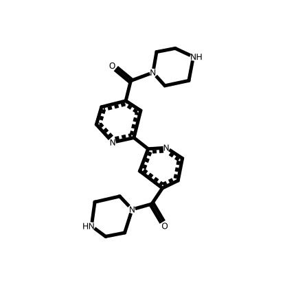 O=C(c1ccnc(-c2cc(C(=O)N3CCNCC3)ccn2)c1)N1CCNCC1